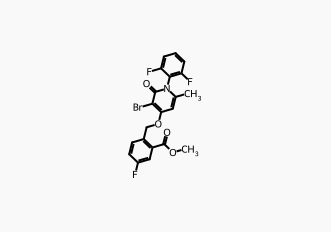 COC(=O)c1cc(F)ccc1COc1cc(C)n(-c2c(F)cccc2F)c(=O)c1Br